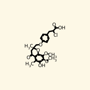 COc1c(O)c(C)c2c(c1OC)OC(C)(COc1ccc(CC(Cl)C(=O)O)cc1)CC2=O